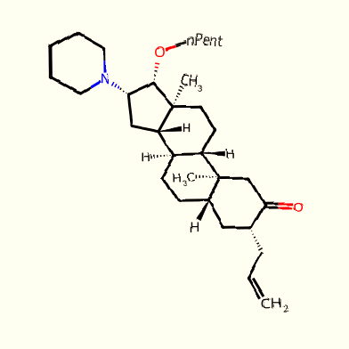 C=CC[C@@H]1C[C@@H]2CC[C@@H]3[C@H](CC[C@@]4(C)[C@H]3C[C@H](N3CCCCC3)[C@@H]4OCCCCC)[C@@]2(C)CC1=O